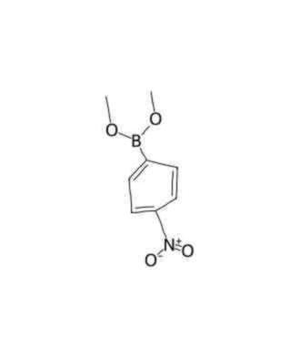 COB(OC)c1ccc([N+](=O)[O-])cc1